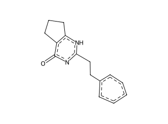 O=c1nc(CCc2ccccc2)[nH]c2c1CCC2